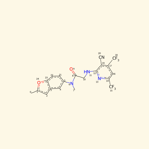 Cc1cc2cc(N(C)C(=O)CNc3nc(C(F)(F)F)cc(C(F)(F)F)c3C#N)ccc2o1